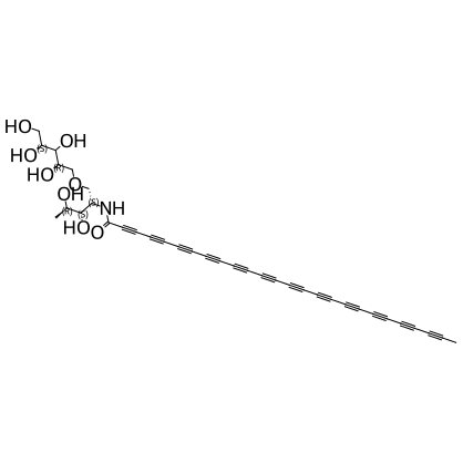 CC#CC#CC#CC#CC#CC#CC#CC#CC#CC#CC#CC#CC(=O)N[C@@H](COC[C@@H](O)C(O)[C@@H](O)CO)[C@H](O)[C@@H](C)O